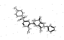 CCOc1ncc(S(=O)(=O)N2CCN(CC)CC2)cc1-c1nc2c(CC)n(-c3ccccn3)nc2c(=O)[nH]1